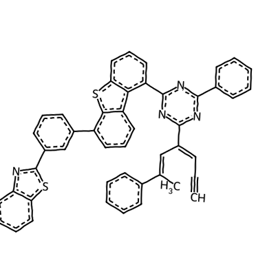 C#C/C=C(\C=C(/C)c1ccccc1)c1nc(-c2ccccc2)nc(-c2cccc3sc4c(-c5cccc(-c6nc7ccccc7s6)c5)cccc4c23)n1